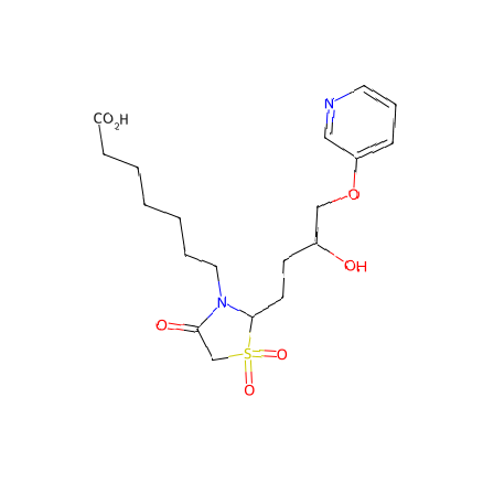 O=C(O)CCCCCCN1C(=O)CS(=O)(=O)C1CCC(O)COc1cccnc1